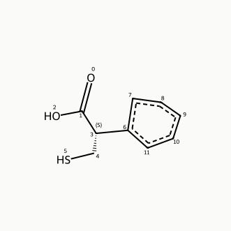 O=C(O)[C@@H](CS)c1ccccc1